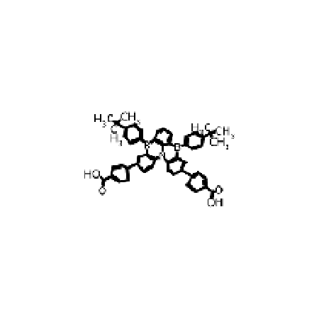 CC(C)(C)c1ccc(B2c3cc(-c4ccc(C(=O)O)cc4)ccc3N3c4ccc(-c5ccc(C(=O)O)cc5)cc4B(c4ccc(C(C)(C)C)cc4)c4cccc2c43)cc1